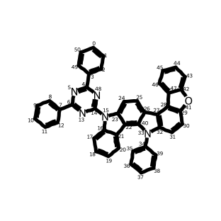 c1ccc(-c2nc(-c3ccccc3)nc(-n3c4ccccc4c4c3ccc3c5c6c(ccc5n(-c5ccccc5)c34)oc3ccccc36)n2)cc1